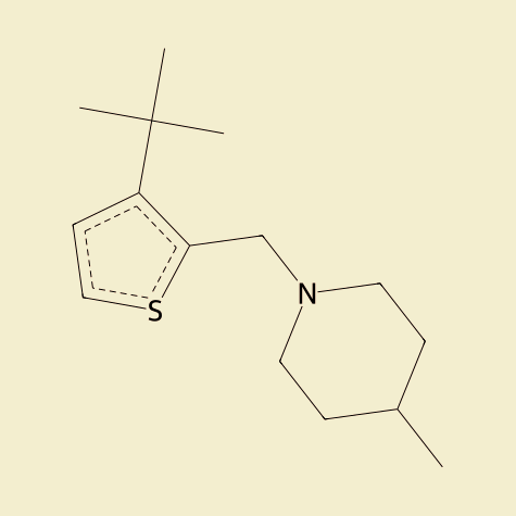 CC1CCN(Cc2sccc2C(C)(C)C)CC1